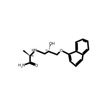 C[C@@H](NC[C@H](O)COc1cccc2ccccc12)C(N)=O